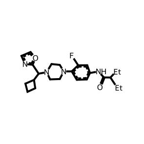 CCC(CC)C(=O)Nc1ccc(N2CCN(C(c3ncco3)C3CCC3)CC2)c(F)c1